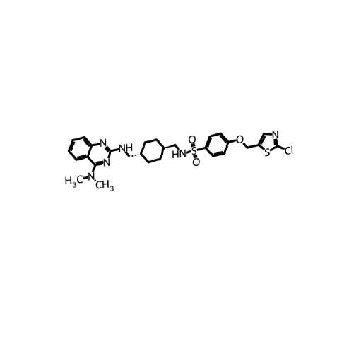 CN(C)c1nc(NC[C@H]2CC[C@H](CNS(=O)(=O)c3ccc(OCc4cnc(Cl)s4)cc3)CC2)nc2ccccc12